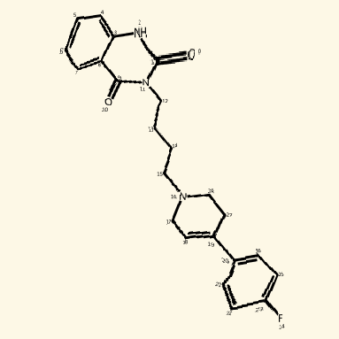 O=c1[nH]c2ccccc2c(=O)n1CCCCN1CC=C(c2ccc(F)cc2)CC1